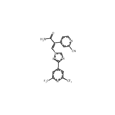 N#Cc1cc(/C(=C\n2cnc(-c3cc(C(F)(F)F)nc(C(F)(F)F)c3)n2)C(N)=O)ccn1